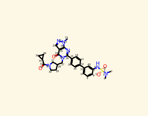 CN(C)S(=O)(=O)Nc1cccc(-c2ccc(-c3nc4c(cnn4C)c(=O)n3CC3CCN(C(=O)C4CC4)C3)cc2)c1